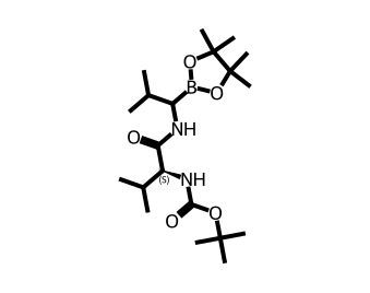 CC(C)C(NC(=O)[C@@H](NC(=O)OC(C)(C)C)C(C)C)B1OC(C)(C)C(C)(C)O1